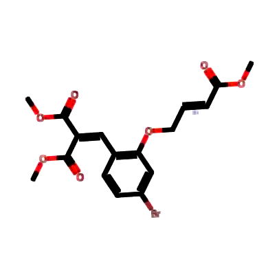 COC(=O)/C=C/COc1cc(Br)ccc1C=C(C(=O)OC)C(=O)OC